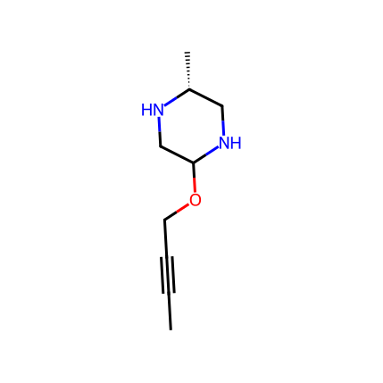 CC#CCOC1CN[C@H](C)CN1